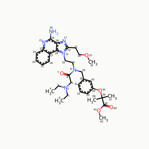 CCN(CC)CC(=O)N(CCn1c(CCOC)nc2c(N)nc3ccccc3c21)Cc1cccc(OC(C)(C)C(=O)OC)c1